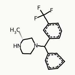 C[C@@H]1CN(C(c2ccccc2)c2cccc(C(F)(F)F)c2)CCN1